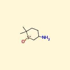 CC1(C)CCC(N)C[S+]1[O-]